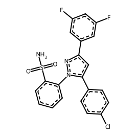 NS(=O)(=O)c1ccccc1-n1nc(-c2cc(F)cc(F)c2)cc1-c1ccc(Cl)cc1